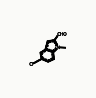 Cn1c(C=O)cc2cc(Cl)ccc21